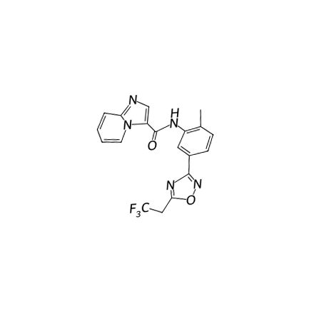 Cc1ccc(-c2noc(CC(F)(F)F)n2)cc1NC(=O)c1cnc2ccccn12